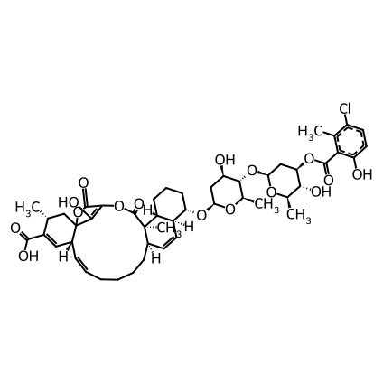 Cc1c(Cl)ccc(O)c1C(=O)O[C@@H]1C[C@H](O[C@H]2[C@H](O)C[C@H](O[C@H]3CCC[C@@H]4[C@@H]3C=C[C@H]3CCCC/C=C\[C@@H]5C=C(C(=O)O)[C@H](C)CC56OC(=O)C(=C6O)OC(=O)[C@@]43C)O[C@@H]2C)O[C@H](C)[C@H]1O